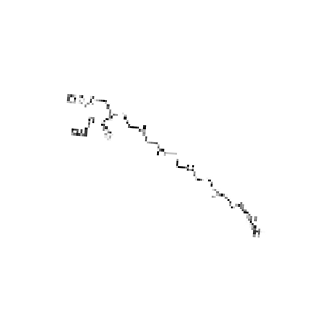 CCOC(=O)CN(CCOCCOCCOCCOCCN=[N+]=[N-])C(=O)OC(C)(C)C